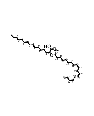 CCC=CCC=CCC=CCCCCC(OC(=O)CCCCCCC/C=C\C/C=C\C/C=C\CC)C(=O)O